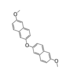 COc1ccc2cc(Oc3ccc4cc(OC)ccc4c3)ccc2c1